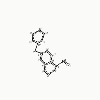 O=Nc1cccc2c[n+](Cc3ccccc3)ccc12